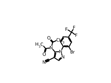 CC(=O)N(C(C)=O)c1c(C#N)cnn1-c1ccc(C(F)(F)F)cc1Br